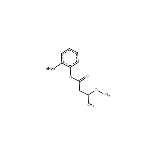 CCCCCCCCCc1ccccc1OC(=O)CC(C)OP